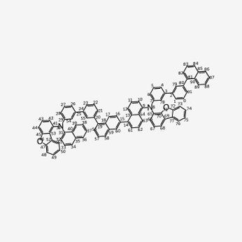 c1cc(-c2cccc(N(c3cccc4c(-c5ccc6c(-c7cccc(-c8cccc(N(c9cccc%10ccccc9%10)c9cccc%10oc%11ccccc%11c9%10)c8)c7)cccc6c5)cccc34)c3cccc4c3oc3ccccc34)c2)cc(-c2cccc3ccccc23)c1